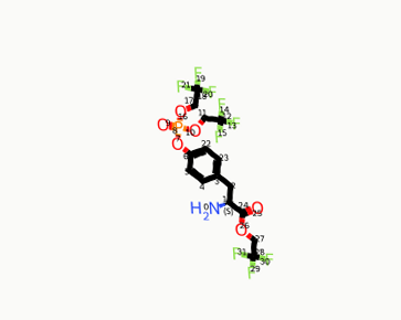 N[C@@H](Cc1ccc(OP(=O)(OCC(F)(F)F)OCC(F)(F)F)cc1)C(=O)OCC(F)(F)F